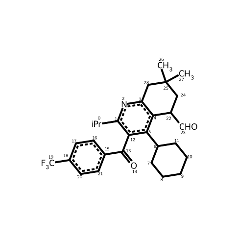 CC(C)c1nc2c(c(C3CCCCC3)c1C(=O)c1ccc(C(F)(F)F)cc1)C(C=O)CC(C)(C)C2